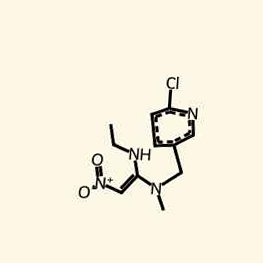 CCNC(=C[N+](=O)[O-])N(C)Cc1ccc(Cl)nc1